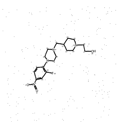 O=[N+]([O-])c1ccc(N2CCN(CC3CCN(CCO)CC3)CC2)c(F)c1